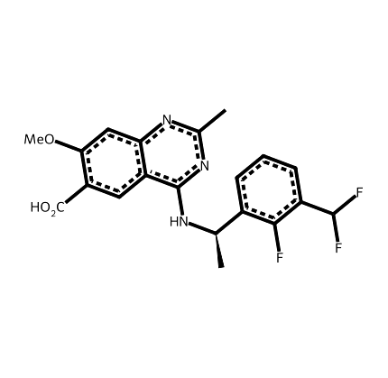 COc1cc2nc(C)nc(N[C@H](C)c3cccc(C(F)F)c3F)c2cc1C(=O)O